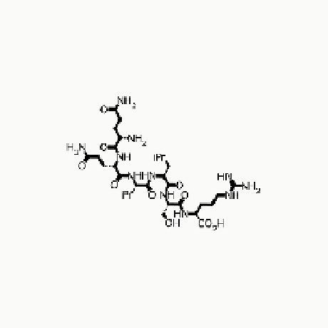 CC(C)C[C@H](NC(=O)[C@@H](NC(=O)[C@H](CCC(N)=O)NC(=O)[C@@H](N)CCC(N)=O)C(C)C)C(=O)N[C@@H](CO)C(=O)N[C@@H](CCCNC(=N)N)C(=O)O